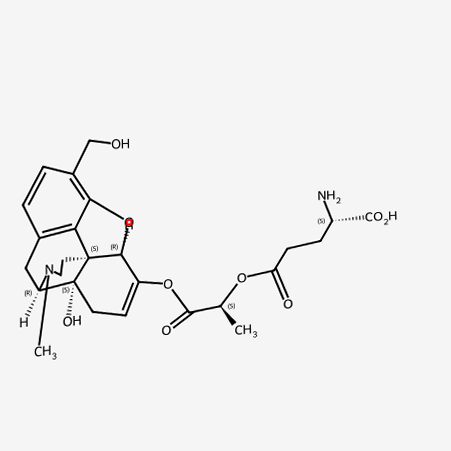 C[C@H](OC(=O)CC[C@H](N)C(=O)O)C(=O)OC1=CC[C@@]2(O)[C@H]3Cc4ccc(CO)c5c4[C@@]2(CCN3C)[C@H]1O5